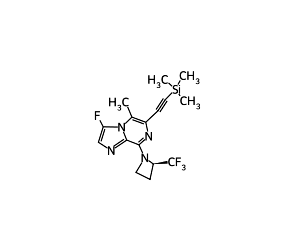 Cc1c(C#C[Si](C)(C)C)nc(N2CC[C@@H]2C(F)(F)F)c2ncc(F)n12